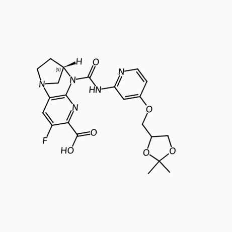 CC1(C)OCC(COc2ccnc(NC(=O)N3c4nc(C(=O)O)c(F)cc4N4CC[C@H]3C4)c2)O1